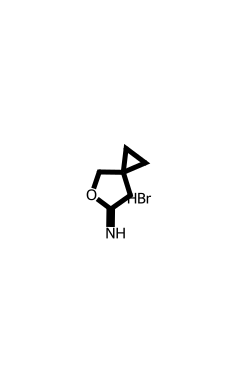 Br.N=C1CC2(CC2)CO1